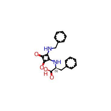 O=C(O)[C@H](Cc1ccccc1)Nc1c(NCc2ccccc2)c(=O)c1=O